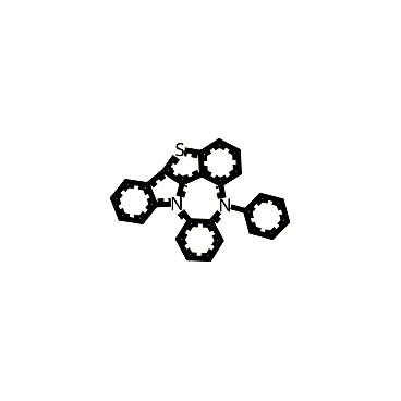 c1ccc(-n2c3cccc4sc5c6ccccc6n(c6ccccc62)c5c43)cc1